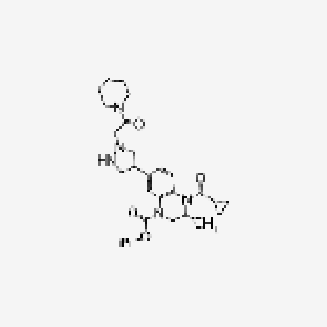 CC(C)OC(=O)N1C[C@H](C)N(C(=O)C2CC2)c2ccc(C3CNN(CC(=O)N4CCCCC4)C3)cc21